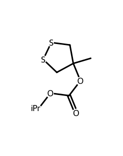 CC(C)OC(=O)OC1(C)CSSC1